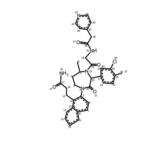 CC1CCN(c2ccc3ccccc3c2CCC(N)=O)C(=O)C(c2ccc(F)c(Cl)c2)N1C(=O)CNC(=O)Cc1ccncc1